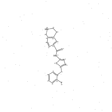 O=C(Nc1nnc(Cc2ccccc2F)s1)c1ccc2c(c1)CCNC2